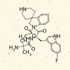 CC(C)(N)C(=O)N[C@H](Cc1c[nH]c2ccc(F)cc12)C(=O)[N+]1(S(C)(=O)=O)CC2(CCNCC2)c2ccccc21